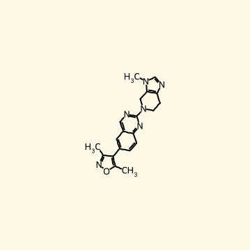 Cc1noc(C)c1-c1ccc2nc(N3CCc4ncn(C)c4C3)ncc2c1